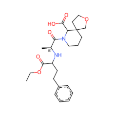 CCOC(=O)C(CCc1ccccc1)N[C@@H](C)C(=O)N1CCCC2(CCOC2)C1C(=O)O